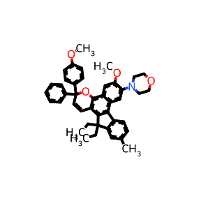 CCC1(CC)c2cc(C)ccc2-c2c1c1c(c3cc(OC)c(N4CCOCC4)cc23)OC(c2ccccc2)(c2ccc(OC)cc2)C=C1